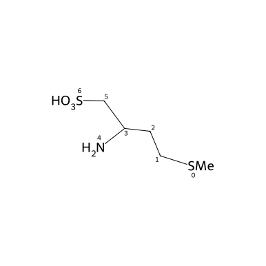 CSCCC(N)CS(=O)(=O)O